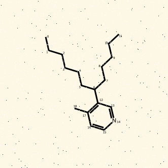 CCCCCCC(CCCCC)c1cnccc1C